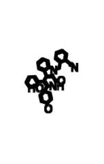 N#Cc1ccccc1Cn1c2ccccc2c2c(-c3ccccc3)c(C3(O)C=CC(=O)C=C3)[nH]c(=O)c21